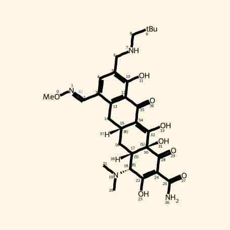 CO/N=C/c1cc(CNCC(C)(C)C)c(O)c2c1C[C@H]1C[C@H]3[C@@H](N(C)C)C(O)=C(C(N)=O)C(=O)[C@@]3(O)C(O)=C1C2=O